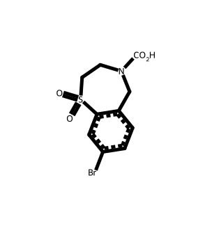 O=C(O)N1CCS(=O)(=O)c2cc(Br)ccc2C1